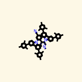 C=N/C=C(\C(=C/C)c1ccc(C#N)cc1-n1c2ccc(-c3c(C)cc(C)cc3C)cc2c2cc(-c3c(C)cc(C)cc3C)ccc21)n1c2ccc(-c3c(C)cc(C)cc3C)cc2c2cc(-c3c(C)cc(C)cc3C)ccc21